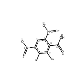 Cc1c([N+](=O)[O-])cc([N+](=O)[O-])c(C(=O)O)c1C